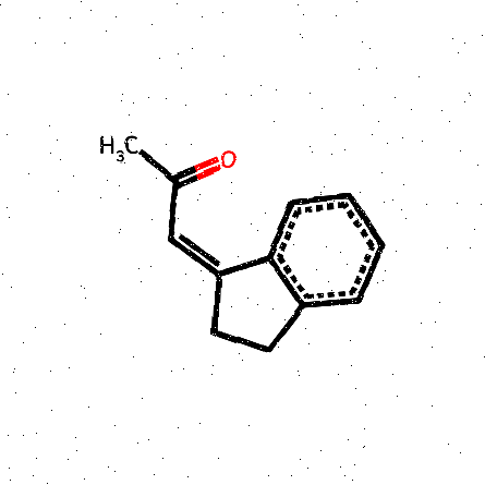 CC(=O)/C=C1/CCc2ccccc21